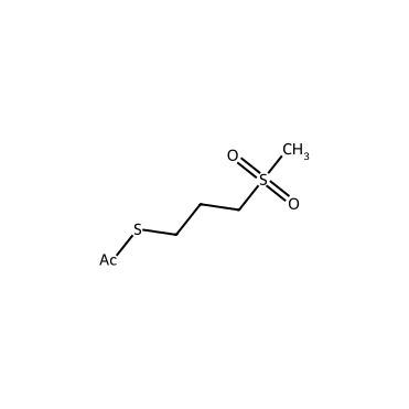 CC(=O)SCCCS(C)(=O)=O